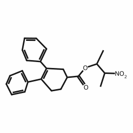 CC(OC(=O)C1CCC(c2ccccc2)=C(c2ccccc2)C1)C(C)[N+](=O)[O-]